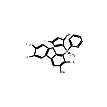 [CH2]=[Zr]([C]1=CC(C(C)(C)C)=CC1C(C)C)([c]1ccccc1)[c]1c(C)c(C(C)(C)C)cc2c1Cc1cc(C)c(C(C)(C)C)cc1-2